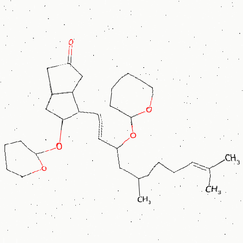 CC(C)=CCCC(C)CC(C=CC1C(OC2CCCCO2)CC2CC(=O)CC21)OC1CCCCO1